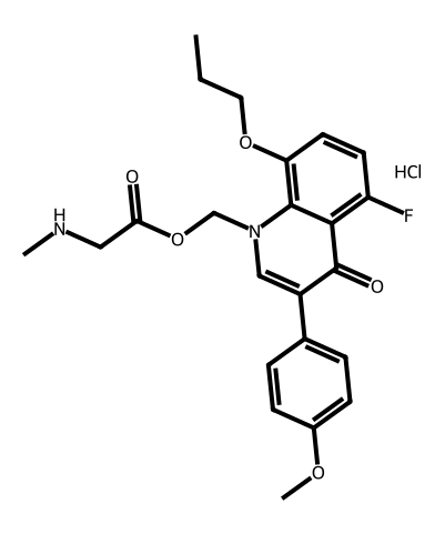 CCCOc1ccc(F)c2c(=O)c(-c3ccc(OC)cc3)cn(COC(=O)CNC)c12.Cl